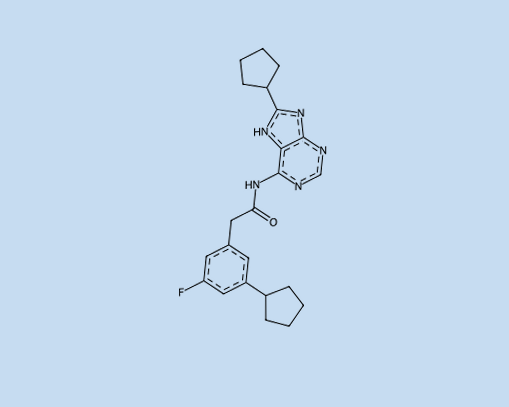 O=C(Cc1cc(F)cc(C2CCCC2)c1)Nc1ncnc2nc(C3CCCC3)[nH]c12